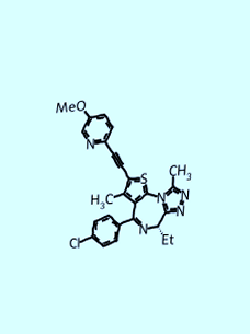 CC[C@@H]1N=C(c2ccc(Cl)cc2)c2c(sc(C#Cc3ccc(OC)cn3)c2C)-n2c(C)nnc21